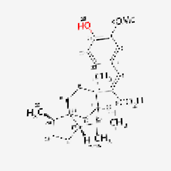 COc1cc(/C=C(/C(=O)O)[C@]2(C)CC[C@@]34C[C@@H]2C(C)(C)[C@@H]3CC[C@H]4C)ccc1O